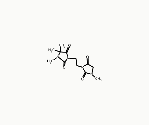 CN1CC(=O)N(CCN2C(=O)N(C)C(C)(C)C2=O)C1=O